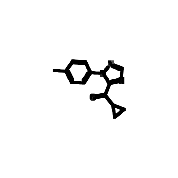 Cc1ccc(-n2ncnc2C(=O)C2CC2)cc1